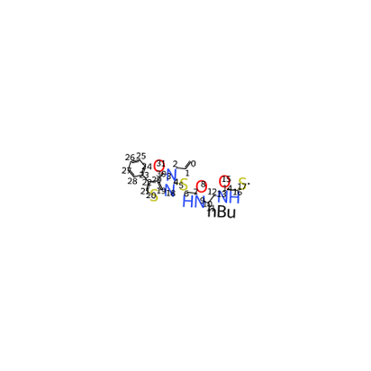 C=CCn1c(SCC(=O)NC(CCCC)CNC(=O)C[S])nc2scc(-c3ccccc3)c2c1=O